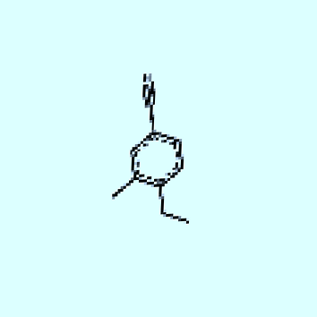 [CH2]c1cc(C#N)ccc1CC